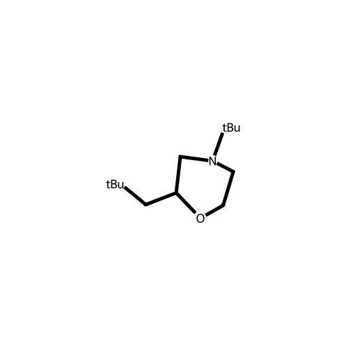 CC(C)(C)CC1CN(C(C)(C)C)CCO1